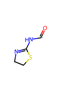 O=[C]NC1=NCCS1